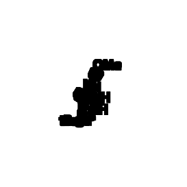 COc1ccc(-c2nc3c4cccc(Br)c4nc(N[C@H](C)C(=O)NCCN(C)C(=O)OC(C)(C)C)n3n2)cc1